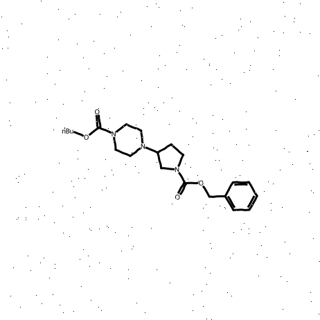 CCCCOC(=O)N1CCN(C2CCN(C(=O)OCc3ccccc3)C2)CC1